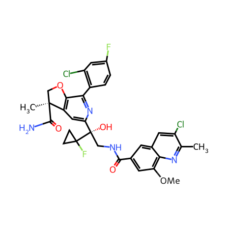 COc1cc(C(=O)NC[C@](O)(c2cc3c(c(-c4ccc(F)cc4Cl)n2)OC[C@]3(C)C(N)=O)C2(F)CC2)cc2cc(Cl)c(C)nc12